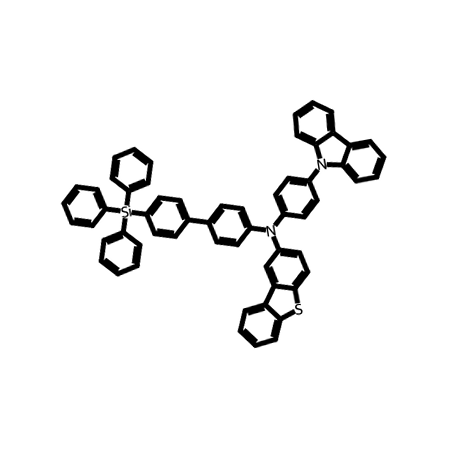 c1ccc([Si](c2ccccc2)(c2ccccc2)c2ccc(-c3ccc(N(c4ccc(-n5c6ccccc6c6ccccc65)cc4)c4ccc5sc6ccccc6c5c4)cc3)cc2)cc1